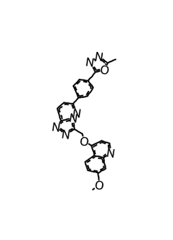 COc1ccc2c(OCc3nnc4ccc(-c5ccc(-c6nnc(C)o6)cc5)nn34)ccnc2c1